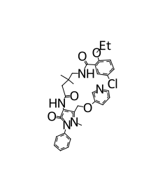 CCOc1ccc(Cl)cc1C(=O)NCC(C)(C)CC(=O)Nc1c(COc2cccnc2)n(C)n(-c2ccccc2)c1=O